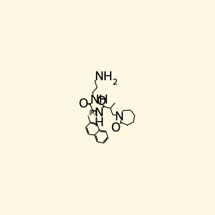 CC(CN1CCCCCC1=O)C(=O)N[C@H](Cc1ccc2ccccc2c1)C(=O)NCCCN